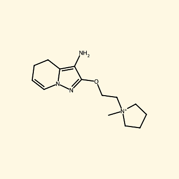 C[N+]1(CCOc2nn3c(c2N)CCC=C3)CCCC1